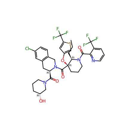 CCC[C@H]1N(C(=O)c2ncccc2C(F)(F)F)CCC[C@]1(Oc1csc(C(F)(F)F)c1)C(=O)N1Cc2ccc(Cl)cc2C[C@@H]1C(=O)N1CCC[C@@H](O)C1